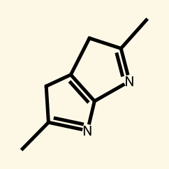 CC1=NC2=C(C1)CC(C)=N2